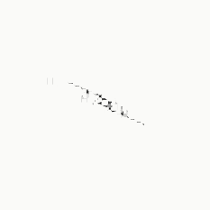 CCCCCCCOC(=O)CCCC(C)(C)C1=CC(=O)C(C(C)(C)CCCC(=O)OCCCCCCC)=CC1=O